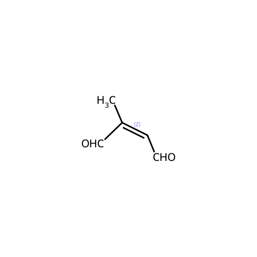 C/C(C=O)=C/C=O